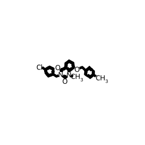 Cc1ccc(COc2cccc3c(=O)n(Cc4ccc(Cl)cc4)c(=O)n(C)c23)cc1